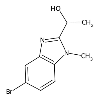 C[C@@H](O)c1nc2cc(Br)ccc2n1C